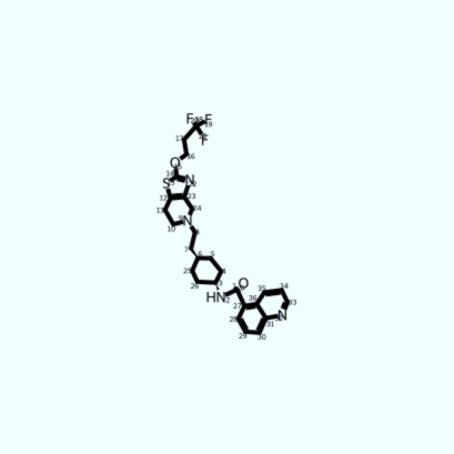 O=C(N[C@H]1CC[C@H](CCN2CCc3sc(OCCC(F)(F)F)nc3C2)CC1)c1cccc2ncccc12